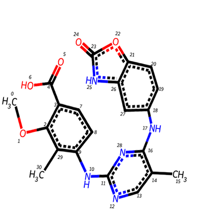 COc1c(C(=O)O)ccc(Nc2ncc(C)c(Nc3ccc4oc(=O)[nH]c4c3)n2)c1C